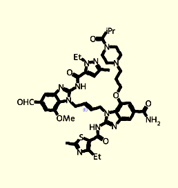 CCc1nc(C)sc1C(=O)Nc1nc2cc(C(N)=O)cc(OCCCN3CCN(C(=O)C(C)C)CC3)c2n1C/C=C/Cn1c(NC(=O)c2cc(C)nn2CC)nc2cc(C=O)cc(OC)c21